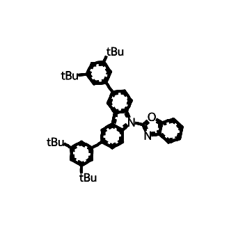 CC(C)(C)c1cc(-c2ccc3c(c2)c2cc(-c4cc(C(C)(C)C)cc(C(C)(C)C)c4)ccc2n3-c2nc3ccccc3o2)cc(C(C)(C)C)c1